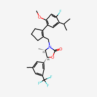 COc1cc(F)c(C(C)C)cc1C1=C(CN2C(=O)O[C@H](c3cc(C)cc(C(F)(F)F)c3)[C@@H]2C)CCC1